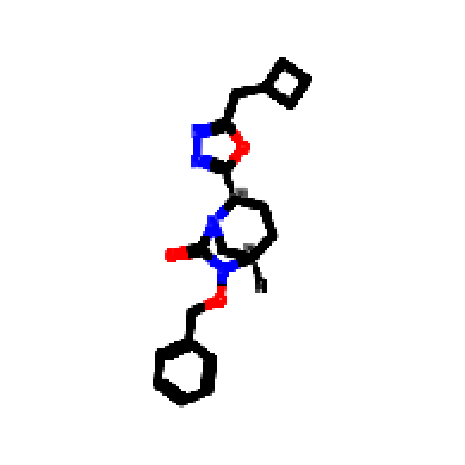 O=C1N2C[C@@H](CC[C@H]2c2nnc(CC3CCC3)o2)N1OCc1ccccc1